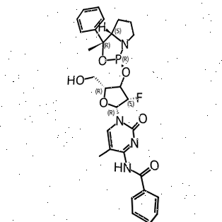 Cc1cn([C@@H]2O[C@H](CO)C(O[P@@]3O[C@](C)(c4ccccc4)[C@@H]4CCCN43)[C@@H]2F)c(=O)nc1NC(=O)c1ccccc1